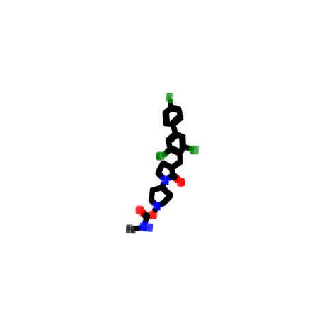 CCNC(=O)ON1CCC(N2CCC(Cc3c(Cl)cc(-c4ccc(F)cc4)cc3Cl)C2=O)CC1